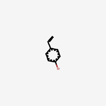 C=[C]c1ccc(Br)cc1